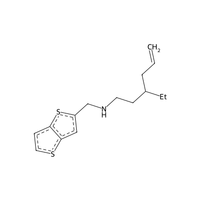 C=CCC(CC)CCNCc1cc2sccc2s1